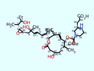 CCC(O)C(C)[C@H]1O[C@@H]1CC(C)(O)/C=C/C=C(\C)[C@H]1OC(=O)C[C@H](O)CC[C@@](C)(OC)[C@@H](OC(=O)N2CCN[C@H](CCC(=O)O)C2)/C=C/[C@@H]1C